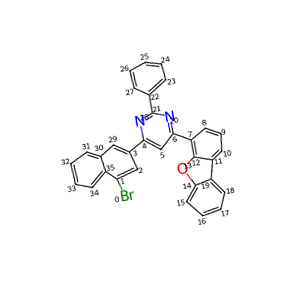 Brc1cc(-c2cc(-c3cccc4c3oc3ccccc34)nc(-c3ccccc3)n2)cc2ccccc12